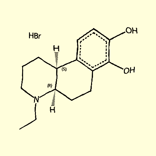 Br.CCN1CCC[C@H]2c3ccc(O)c(O)c3CC[C@H]21